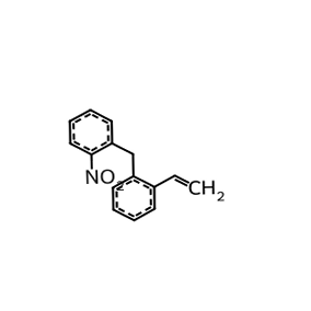 C=Cc1ccccc1Cc1ccccc1[N+](=O)[O-]